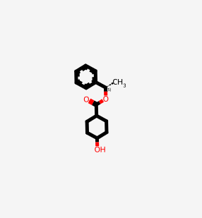 C[C@H](OC(=O)C1CCC(O)CC1)c1ccccc1